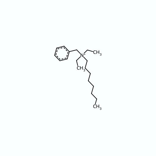 CCCCCCCC[N+](CC)(CC)Cc1ccccc1